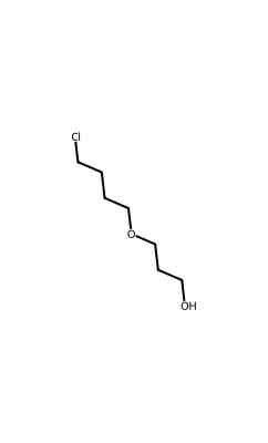 OCCCOCCCCCl